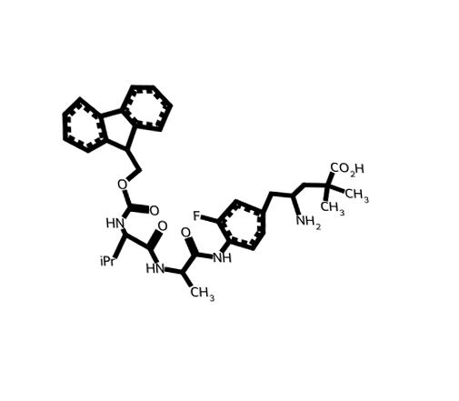 CC(NC(=O)C(NC(=O)OCC1c2ccccc2-c2ccccc21)C(C)C)C(=O)Nc1ccc(CC(N)CC(C)(C)C(=O)O)cc1F